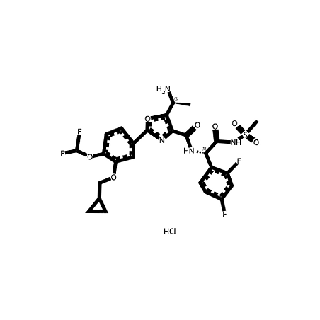 C[C@H](N)c1oc(-c2ccc(OC(F)F)c(OCC3CC3)c2)nc1C(=O)N[C@H](C(=O)NS(C)(=O)=O)c1ccc(F)cc1F.Cl